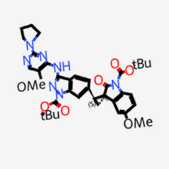 COc1ccc2c(c1)[C@]1(C[C@H]1c1ccc3c(Nc4nc(N5CCCC5)ncc4OC)nn(C(=O)OC(C)(C)C)c3c1)C(=O)N2C(=O)OC(C)(C)C